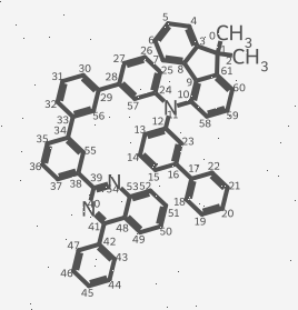 CC1(C)c2ccccc2-c2c(N(c3cccc(-c4ccccc4)c3)c3cccc(-c4cccc(-c5cccc(-c6nc(-c7ccccc7)c7ccccc7n6)c5)c4)c3)cccc21